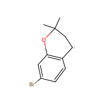 CC1(C)C[C]c2ccc(Br)cc2O1